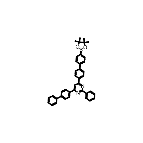 CC1(C)OB(c2ccc(-c3ccc(-c4cc(-c5ccc(-c6ccccc6)cc5)nc(-c5ccccc5)n4)cc3)cc2)OC1(C)C